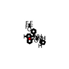 O=C(N[C@@H]1C[C@H]2CC[C@@H]1C2)N[C@](Cc1ccccc1)(c1cccc(OC(F)(F)C(F)F)c1)c1ccc(I)cn1